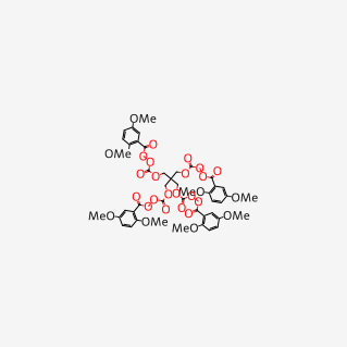 COc1ccc(OC)c(C(=O)OOC(=O)OCC(COC(=O)OOC(=O)c2cc(OC)ccc2OC)(COC(=O)OOC(=O)c2cc(OC)ccc2OC)COC(=O)OOC(=O)c2cc(OC)ccc2OC)c1